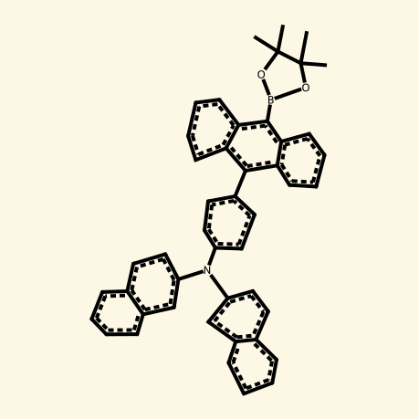 CC1(C)OB(c2c3ccccc3c(-c3ccc(N(c4ccc5ccccc5c4)c4ccc5ccccc5c4)cc3)c3ccccc23)OC1(C)C